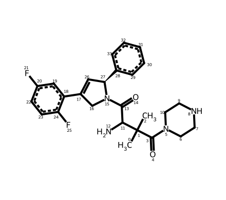 CC(C)(C(=O)N1CCNCC1)C(N)C(=O)N1CC(c2cc(F)ccc2F)=C[C@H]1c1ccccc1